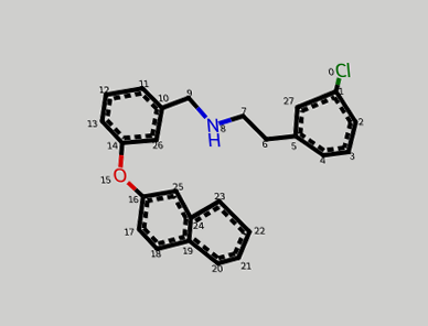 Clc1cccc(CCNCc2cccc(Oc3ccc4ccccc4c3)c2)c1